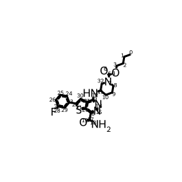 CCCCOC(=O)N1CCCC(Nc2nnc(C(N)=O)c3sc(-c4cccc(F)c4)cc23)C1